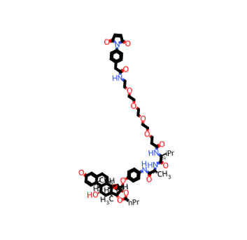 CCCC1O[C@@H]2C[C@H]3[C@@H]4CCC5=CC(=O)C=C[C@]5(C)[C@H]4[C@@H](O)C[C@]3(C)[C@]2(C(=O)COc2ccc(NC(=O)[C@H](C)NC(=O)[C@@H](NC(=O)CCOCCOCCOCCOCCNC(=O)Cc3ccc(N4C(=O)C=CC4=O)cc3)C(C)C)cc2)O1